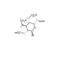 CC(=O)OC[C@@H]1O[C@@H](Br)[C@H](CC(=O)O)[C@@H](CC(=O)O)[C@@H]1CC(=O)O